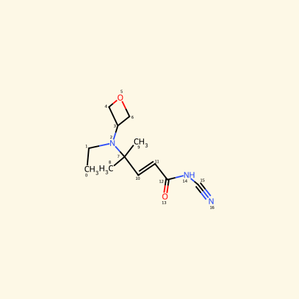 CCN(C1COC1)C(C)(C)C=CC(=O)NC#N